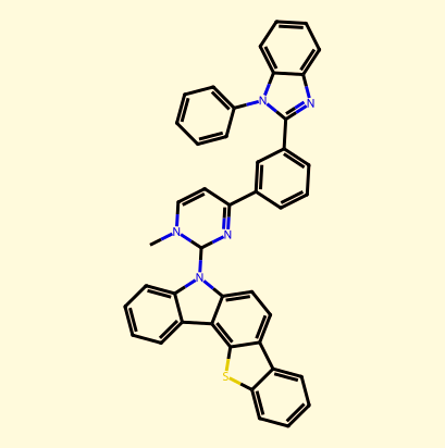 CN1C=CC(c2cccc(-c3nc4ccccc4n3-c3ccccc3)c2)=NC1n1c2ccccc2c2c3sc4ccccc4c3ccc21